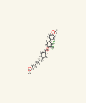 CCOc1ccc(-c2ccc(OCC3CCC(CCCCCCCOC)CC3)c(F)c2F)cc1